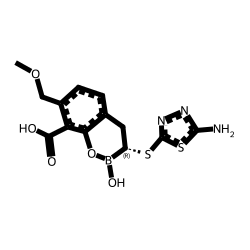 COCc1ccc2c(c1C(=O)O)OB(O)[C@@H](Sc1nnc(N)s1)C2